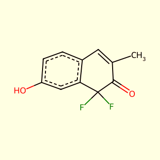 CC1=Cc2ccc(O)cc2C(F)(F)C1=O